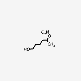 CC(CCCCO)O[N+](=O)[O-]